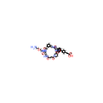 NCCOCCNC(=O)[C@@H]1CCNC(=O)/C=C/C(=O)N2CCC[C@](Cc3ccccc3)(C2)C(=O)N[C@@H](Cc2ccc(-c3ccc(C#CC(=O)O)cc3)cc2)C(=O)NCc2ccccc2CC(=O)N1